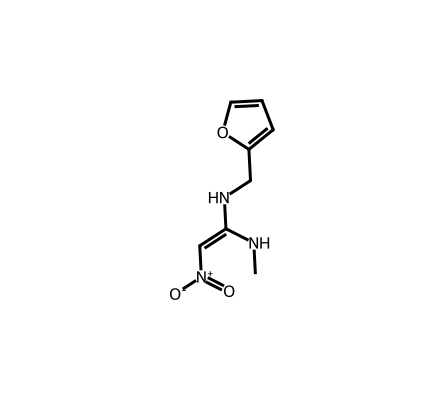 CNC(=C[N+](=O)[O-])NCc1ccco1